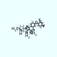 CC1CCC(n2nc(-c3ccc(Oc4ccc(F)cc4F)cc3)c(C(N)=O)c2N)CN1